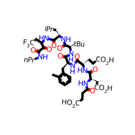 CCCNC(=O)C(=O)C(CC(F)(F)F)NC(=O)[C@H](CC(C)C)NC(=O)[C@@H](NC(=O)[C@H](Cc1ccccc1C)NC(=O)[C@H](CCC(=O)O)NC(=O)[C@H](CC(=O)O)NC(=O)CCC(=O)O)C(C)(C)C